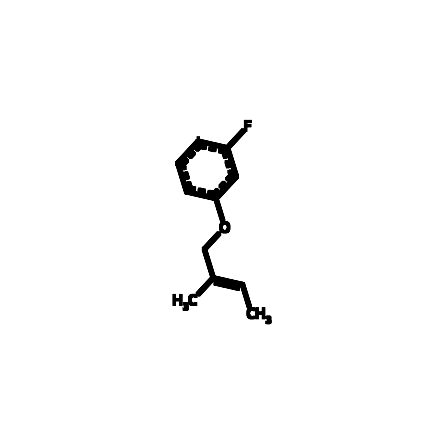 CC=C(C)COc1cc[c]c(F)c1